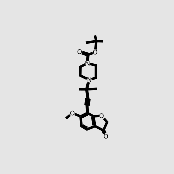 COc1ccc2c(c1C#CC(C)(C)N1CCN(C(=O)OC(C)(C)C)CC1)OCC2=O